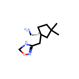 CC1(C)CC[C@](CN)(CC2=NOCN2)C1